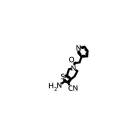 N#Cc1c(N)sc2c1CCN(C(=O)Cc1cccnc1)C2